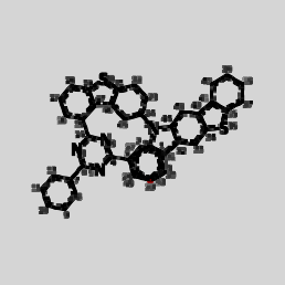 c1ccc(-c2nc(-c3ccccc3)nc(-c3cccc4sc5ccc(-n6c7ccccc7c7cc8sc9ccccc9c8cc76)cc5c34)n2)cc1